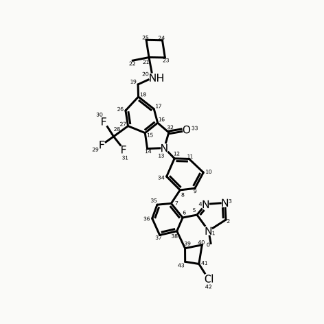 Cn1cnnc1-c1c(-c2cccc(N3Cc4c(cc(CNC5(C)CCC5)cc4C(F)(F)F)C3=O)c2)cccc1C1CC(Cl)C1